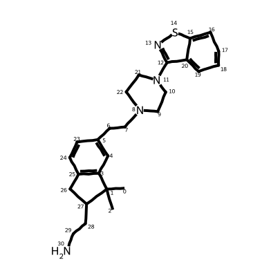 CC1(C)c2cc(CCN3CCN(c4nsc5ccccc45)CC3)ccc2CC1CCN